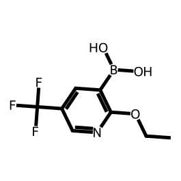 CCOc1ncc(C(F)(F)F)cc1B(O)O